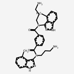 Cc1cccc2[nH]nc(N(CCCN)C(=O)c3cccc(C(=O)N(CCCN)c4n[nH]c5cccc(C)c45)c3)c12